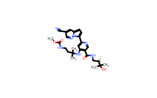 COC(=O)NCCC(C)(C)Nc1cc(-c2ccc3cc(C#N)cnn23)ncc1C(=O)NC[C@@H](F)C(C)(C)O